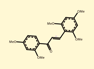 COc1ccc(C(=O)/C=C/c2c(OC)cc(OC)cc2OC)c(OC)c1